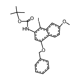 COc1ccc2c(OCc3ccccc3)cc(NC(=O)OC(C)(C)C)c(I)c2c1